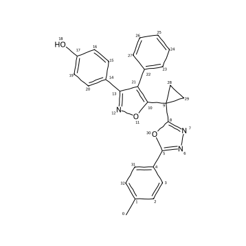 Cc1ccc(-c2nnc(C3(c4onc(-c5ccc(O)cc5)c4-c4ccccc4)CC3)o2)cc1